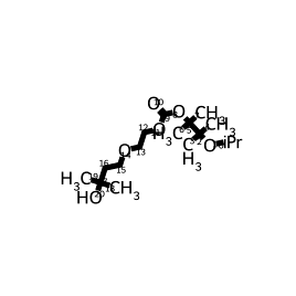 CC(C)OC(C)(C)C(C)(C)OC(=O)OCCOCCC(C)(C)O